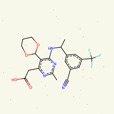 Cc1nc(CC(=O)O)c(C2OCCCO2)c(NC(C)c2cc(C#N)cc(C(F)(F)F)c2)n1